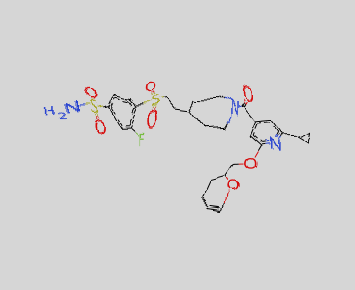 NS(=O)(=O)c1ccc(S(=O)(=O)CCC2CCN(C(=O)c3cc(OCC4CCC=CO4)nc(C4CC4)c3)CC2)c(F)c1